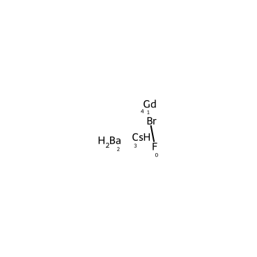 FBr.[BaH2].[CsH].[Gd]